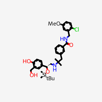 COc1ccc(Cl)c(CNC(=O)c2cccc(CC(C)(C)NC[C@H](O[Si](C)(C)C(C)(C)C)c3ccc(O)c(CO)c3)c2)c1